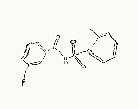 Cc1ccccc1S(=O)(=O)NC(=O)c1cccc(F)c1